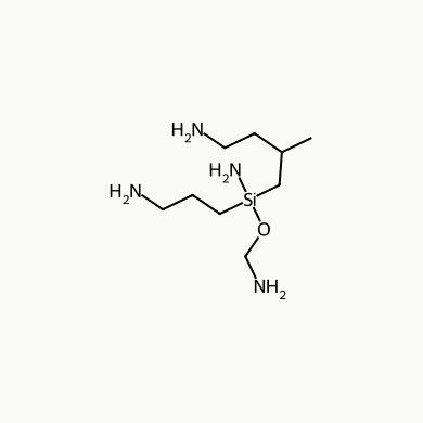 CC(CCN)C[Si](N)(CCCN)OCN